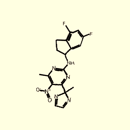 Cc1nc(NC2CCc3c(F)cc(F)cc32)nc(C2(C)N=CC=N2)c1[N+](=O)[O-]